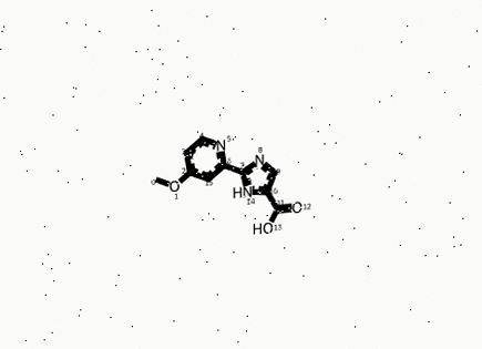 COc1ccnc(-c2ncc(C(=O)O)[nH]2)c1